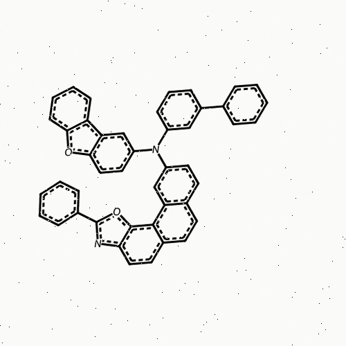 c1ccc(-c2cccc(N(c3ccc4oc5ccccc5c4c3)c3ccc4ccc5ccc6nc(-c7ccccc7)oc6c5c4c3)c2)cc1